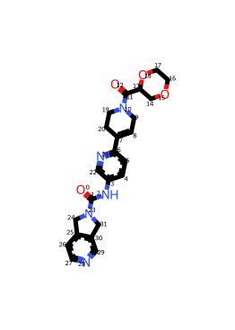 O=C(Nc1ccc(C2=CCN(C(=O)C3COCCO3)CC2)nc1)N1Cc2ccncc2C1